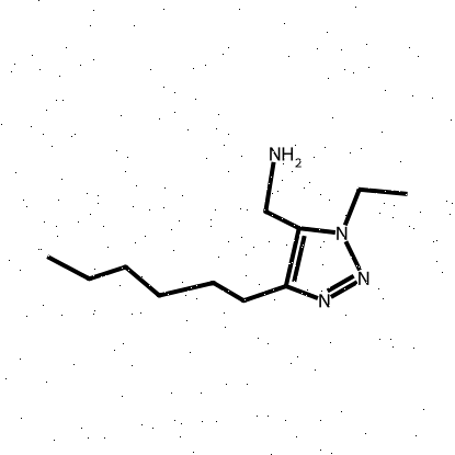 CCCCCCc1nnn(CC)c1CN